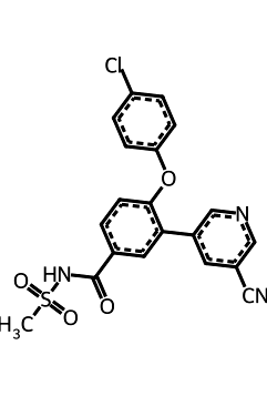 CS(=O)(=O)NC(=O)c1ccc(Oc2ccc(Cl)cc2)c(-c2cncc(C#N)c2)c1